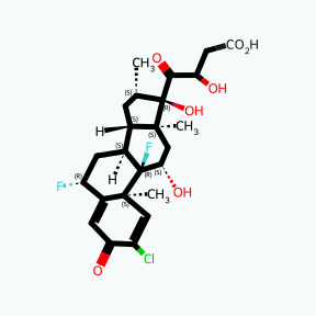 C[C@H]1C[C@H]2[C@@H]3C[C@@H](F)C4=CC(=O)C(Cl)=C[C@]4(C)[C@@]3(F)[C@@H](O)C[C@]2(C)[C@@]1(O)C(=O)C(O)CC(=O)O